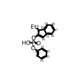 CCC1C(OP(=O)(O)Oc2ccccc2)=Cc2ccccc21